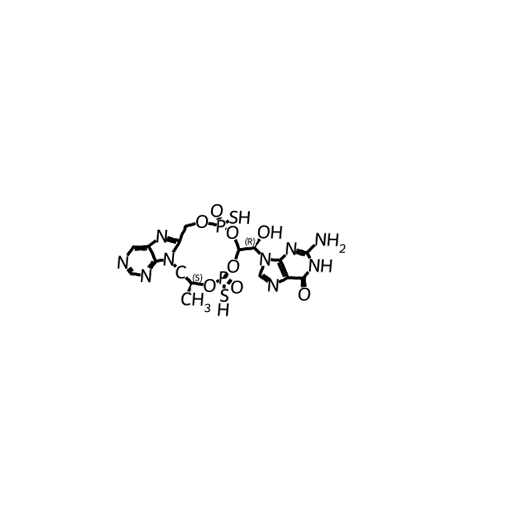 C[C@H]1Cn2c(nc3cncnc32)COP(=O)(S)OC([C@@H](O)n2cnc3c(=O)[nH]c(N)nc32)OP(=O)(S)O1